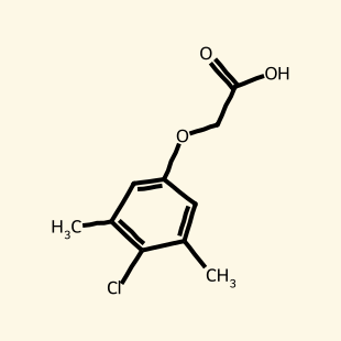 Cc1cc(OCC(=O)O)cc(C)c1Cl